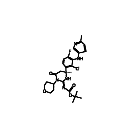 Cc1ccc(Nc2c(F)ccc([C@]3(C)CC(=O)N(C4CCOCC4)/C(=N/C(=O)OC(C)(C)C)N3)c2Cl)cn1